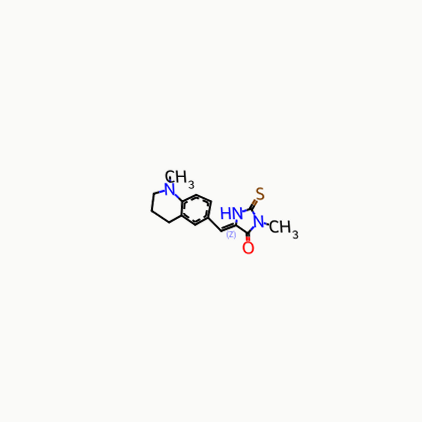 CN1C(=O)/C(=C/c2ccc3c(c2)CCCN3C)NC1=S